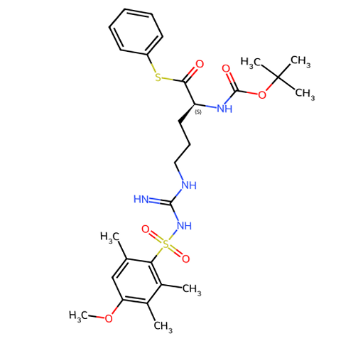 COc1cc(C)c(S(=O)(=O)NC(=N)NCCC[C@H](NC(=O)OC(C)(C)C)C(=O)Sc2ccccc2)c(C)c1C